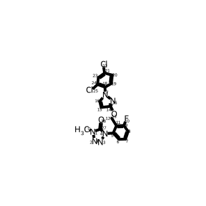 Cn1nnn(-c2cccc(F)c2COc2ccn(-c3ccc(Cl)cc3Cl)n2)c1=O